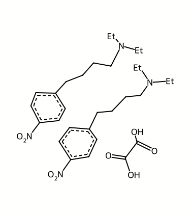 CCN(CC)CCCCc1ccc([N+](=O)[O-])cc1.CCN(CC)CCCCc1ccc([N+](=O)[O-])cc1.O=C(O)C(=O)O